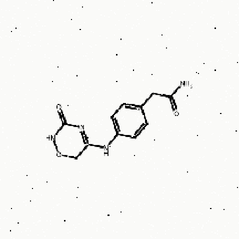 NC(=O)Cc1ccc(NC2=NC(=O)NOC2)cc1